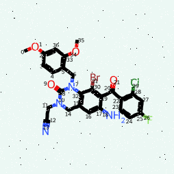 COc1ccc(CN2C(=O)N(CC#N)Cc3cc(N)c(C(=O)c4ccc(F)cc4Cl)c(Br)c32)c(OC)c1